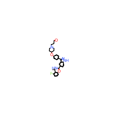 C[C@@H](NC(=O)c1ccc2[nH]nc(-c3ccc(OC4CCN(CCC=O)CC4)cc3)c2c1)c1ccccc1F